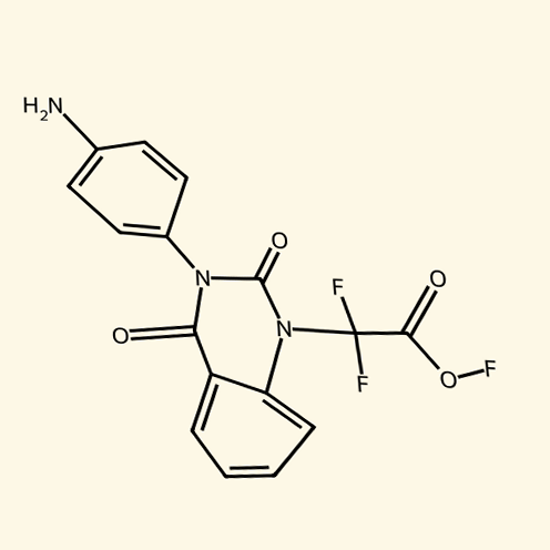 Nc1ccc(-n2c(=O)c3ccccc3n(C(F)(F)C(=O)OF)c2=O)cc1